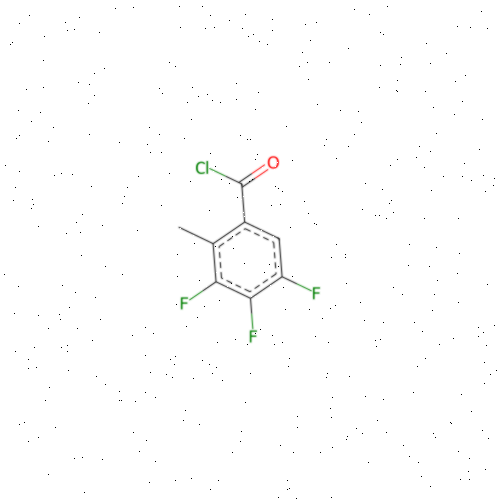 Cc1c(C(=O)Cl)cc(F)c(F)c1F